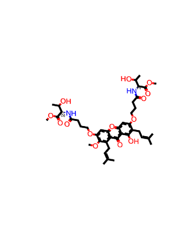 COC(=O)[C@@H](NC(=O)CCCOc1cc2oc3cc(OCCCC(=O)N[C@@H](C(=O)OC)C(C)O)c(CC=C(C)C)c(O)c3c(=O)c2c(CC=C(C)C)c1OC)C(C)O